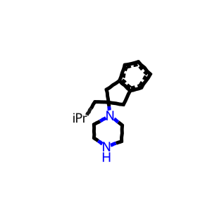 CC(C)CC1(N2CCNCC2)Cc2ccccc2C1